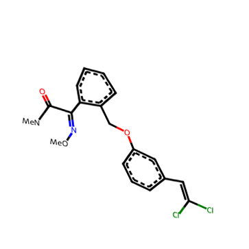 CNC(=O)C(=NOC)c1ccccc1COc1cccc(C=C(Cl)Cl)c1